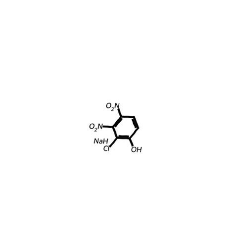 O=[N+]([O-])c1ccc(O)c(Cl)c1[N+](=O)[O-].[NaH]